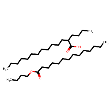 CCCCCCCCCCCCC(CCCC)C(=O)O.CCCCCCCCCCCCCC(=O)OCCCC